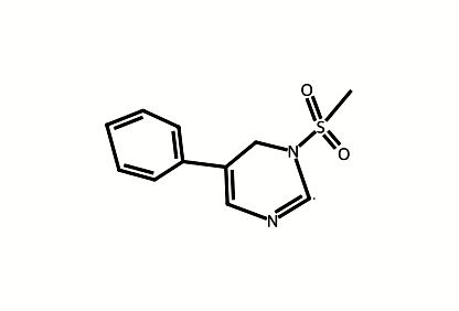 CS(=O)(=O)N1[C]=NC=C(c2ccccc2)C1